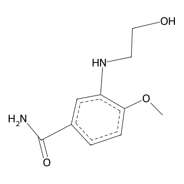 COc1ccc(C(N)=O)cc1NCCO